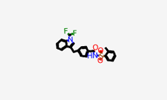 Cc1ccccc1S(=O)(=O)NC(=O)c1ccc(Cc2cn(C(F)F)c3ccccc23)cc1